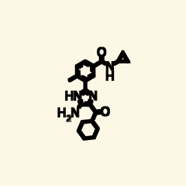 Cc1ccc(C(=O)NC2CC2)cc1-c1nc(C(=O)C2CCCCC2)c(N)[nH]1